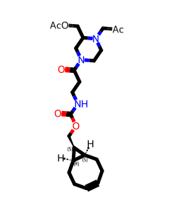 CC(=O)CN1CCN(C(=O)CCNC(=O)OC[C@@H]2[C@@H]3CCC#CCC[C@@H]32)CC1COC(C)=O